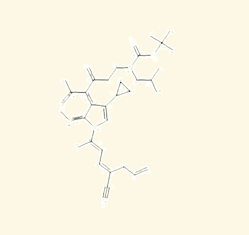 C=CC/C(C#N)=C\C=C(/C)N1C=C(C2CC2)C(=C(/C(=C)C)C(=C)CCN(CC(C)C)C(=O)OC(C)(C)C)/C1=N\C